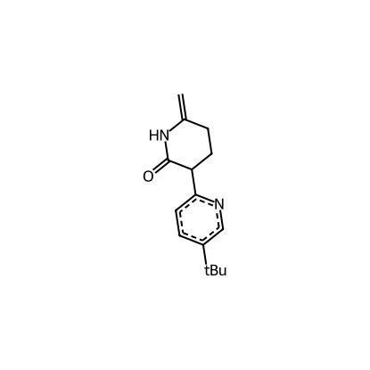 C=C1CCC(c2ccc(C(C)(C)C)cn2)C(=O)N1